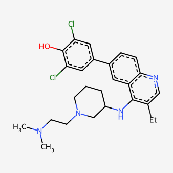 CCc1cnc2ccc(-c3cc(Cl)c(O)c(Cl)c3)cc2c1NC1CCCN(CCN(C)C)C1